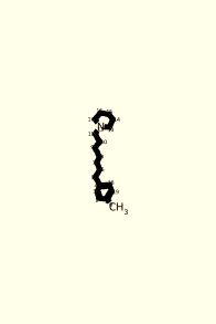 Cc1ccc(CCCCCCCN2CCCCC2)cc1